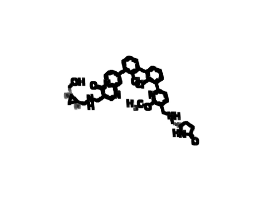 COc1nc(-c2cccc(-c3cccc(-c4ccn5c(=O)c(CNC[C@H]6C[C@@H]6CO)cnc5c4)c3Cl)c2Cl)ccc1CNC[C@@H]1CCC(=O)N1